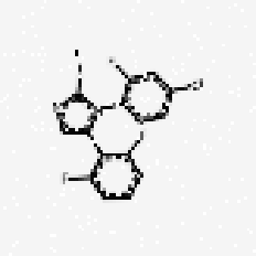 Fc1cc(Cl)ccc1-n1c(-c2c(F)cccc2F)cnc1I